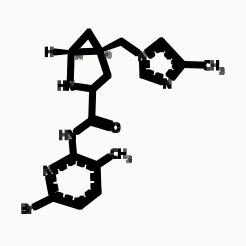 Cc1cn(C[C@@]23CC(C(=O)Nc4nc(Br)ccc4C)N[C@@H]2C3)cn1